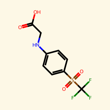 O=C(O)CNc1ccc(S(=O)(=O)C(F)(F)F)cc1